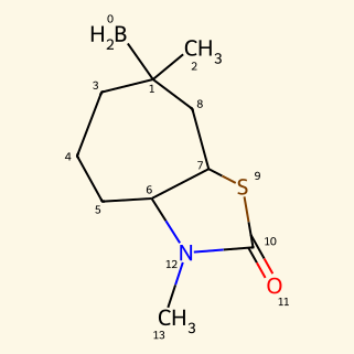 BC1(C)CCCC2C(C1)SC(=O)N2C